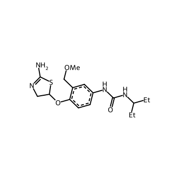 CCC(CC)NC(=O)Nc1ccc(OC2CN=C(N)S2)c(COC)c1